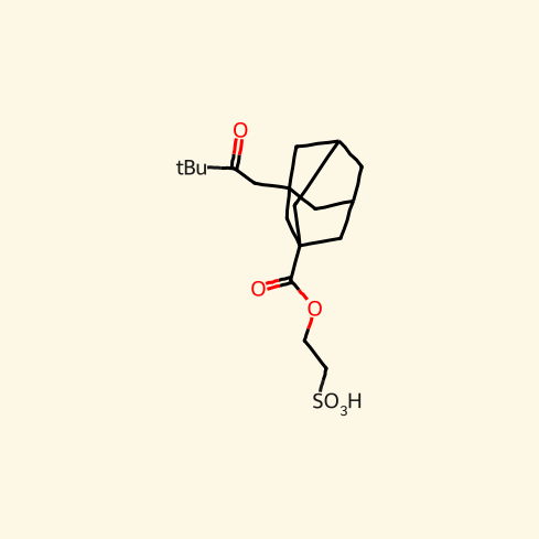 CC(C)(C)C(=O)CC12CC3CC(C1)CC(C(=O)OCCS(=O)(=O)O)(C3)C2